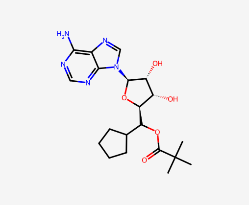 CC(C)(C)C(=O)OC(C1CCCC1)[C@H]1O[C@@H](n2cnc3c(N)ncnc32)[C@H](O)[C@@H]1O